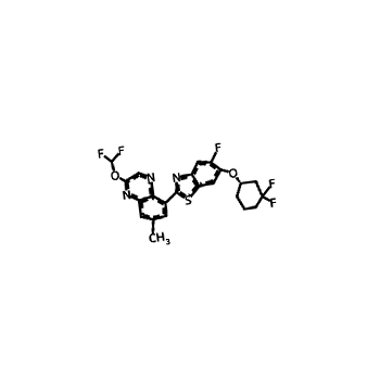 Cc1cc(-c2nc3cc(F)c(O[C@@H]4CCCC(F)(F)C4)cc3s2)c2ncc(OC(F)F)nc2c1